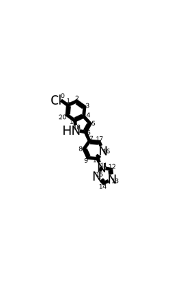 Clc1ccc2cc(-c3ccc(-n4cncn4)nc3)[nH]c2c1